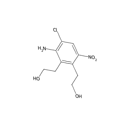 Nc1c(Cl)cc([N+](=O)[O-])c(CCO)c1CCO